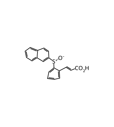 O=C(O)C=Cc1ccccc1[S+]([O-])c1ccc2ccccc2c1